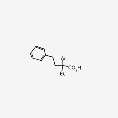 CCC(CCc1ccccc1)(C(C)=O)C(=O)O